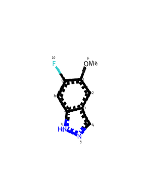 COc1cc2cn[nH]c2cc1F